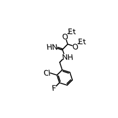 CCOC(OCC)C(=N)NCc1cccc(F)c1Cl